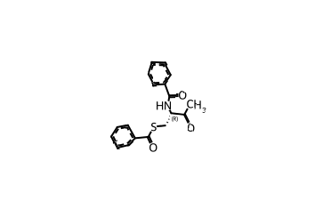 CC(=O)[C@H](CSC(=O)c1ccccc1)NC(=O)c1ccccc1